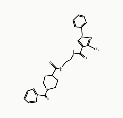 O=C(NCCNC(=O)C1CCN(C(=O)c2ccccc2)CC1)c1cn(-c2ccccc2)nc1C(F)(F)F